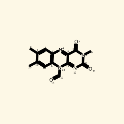 Cc1cc2nc3c(=O)n(C)c(=O)nc-3n(C=O)c2cc1C